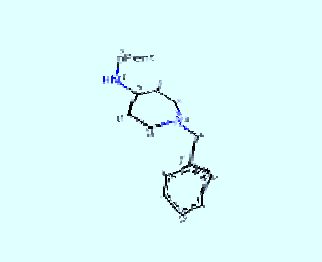 CCCCCNC1CCN(Cc2ccccc2)CC1